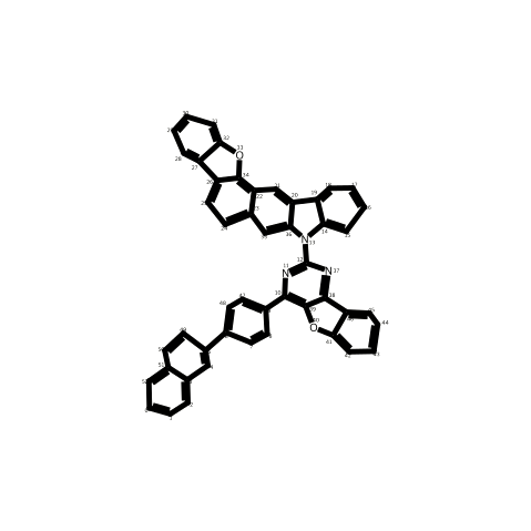 c1ccc2cc(-c3ccc(-c4nc(-n5c6ccccc6c6cc7c(ccc8c9ccccc9oc78)cc65)nc5c4oc4ccccc45)cc3)ccc2c1